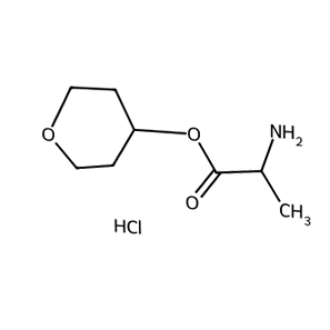 CC(N)C(=O)OC1CCOCC1.Cl